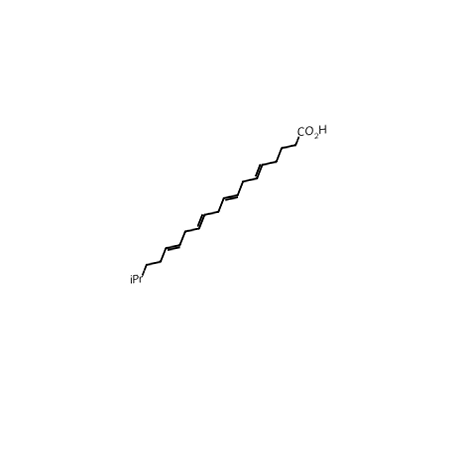 CC(C)CC/C=C/C/C=C/C/C=C/C/C=C/CCCC(=O)O